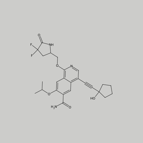 CC(C)Oc1cc2c(OCC3CC(F)(F)C(=O)N3)ncc(C#CC3(O)CCCC3)c2cc1C(N)=O